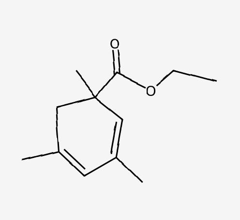 CCOC(=O)C1(C)C=C(C)C=C(C)C1